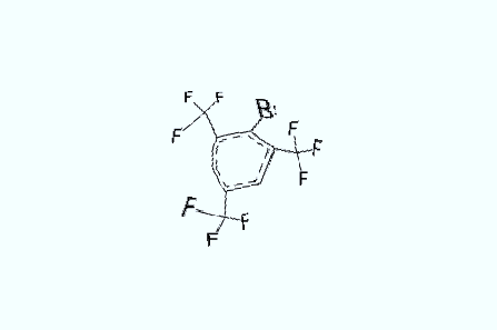 [B]c1c(C(F)(F)F)cc(C(F)(F)F)cc1C(F)(F)F